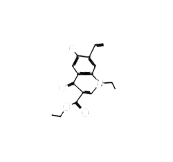 C=Cc1cc2c(cc1F)c(=O)c(C(=O)OCC)cn2CC